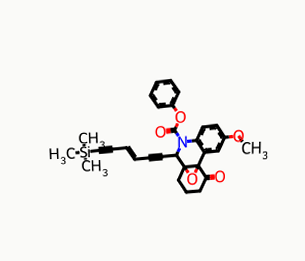 COc1ccc2c(c1)C13OC1(CCCC3=O)C(C#CC=CC#C[Si](C)(C)C)N2C(=O)Oc1ccccc1